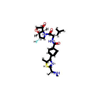 CN[C@@H](C)C1=NC(c2ccc(C(=O)N[C@@H](CC(C)C)C(=O)N3C[C@H](F)[C@H]4OCC(=O)[C@H]43)cc2)C(C)S1